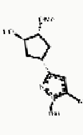 CNc1cc([C@@H]2C[C@@H](O)[C@H](OC)C2)nn1C(C)(C)C